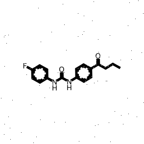 CCCC(=O)c1ccc(NC(=O)Nc2ccc(F)cc2)cc1